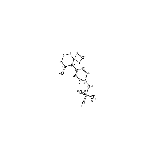 O=C1CCCC2(COC2)N1c1ccc(OS(=O)(=O)C(F)(F)F)cc1